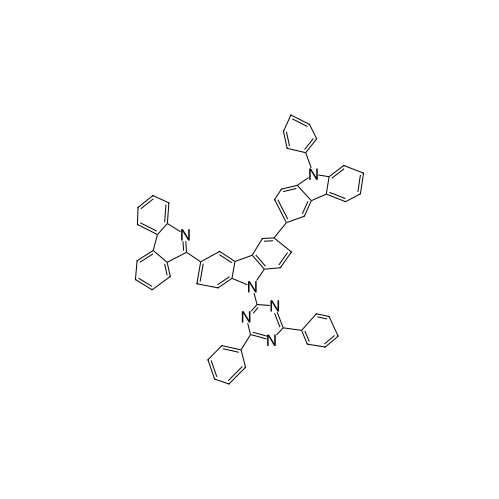 c1ccc(-c2nc(-c3ccccc3)nc(-n3c4ccc(-c5ccc6c(c5)c5ccccc5n6-c5ccccc5)cc4c4cc(-c5nc6ccccc6c6ccccc56)ccc43)n2)cc1